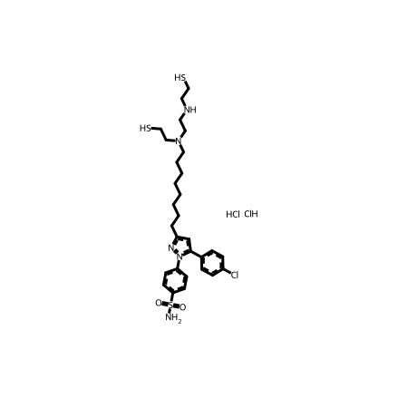 Cl.Cl.NS(=O)(=O)c1ccc(-n2nc(CCCCCCCCN(CCS)CCNCCS)cc2-c2ccc(Cl)cc2)cc1